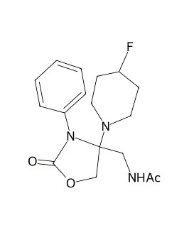 CC(=O)NCC1(N2CCC(F)CC2)COC(=O)N1c1ccccc1